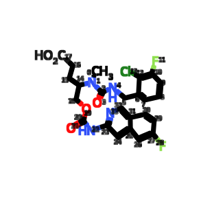 CN(C(=O)NCc1cccc(F)c1Cl)C(CCC(=O)O)COC(=O)Nc1cc2cc(F)ccc2cn1